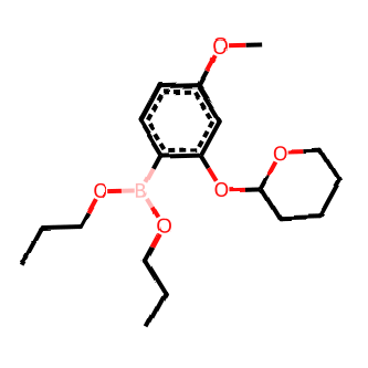 CCCOB(OCCC)c1ccc(OC)cc1OC1CCCCO1